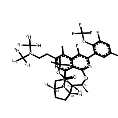 [2H]C([2H])([2H])N(CCc1nc2c3c(nc(-c4cc(N)cc(F)c4OC(F)(F)F)c(F)c3c1C)O[C@@H](C)[C@@H]1[C@@H]3CC[C@H](CN21)N3C(=O)OC(C)(C)C)C([2H])([2H])[2H]